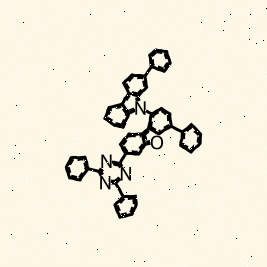 c1ccc(-c2ccc3c4ccccc4n(-c4ccc(-c5ccccc5)c5oc6cc(-c7nc(-c8ccccc8)nc(-c8ccccc8)n7)ccc6c45)c3c2)cc1